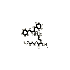 C=C(C=CC(=O)O)C(=O)OCCCC.CC(C=Cc1ccccc1)=Cc1ccccc1